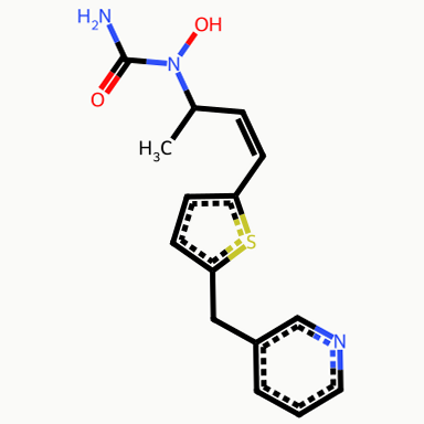 CC(/C=C\c1ccc(Cc2cccnc2)s1)N(O)C(N)=O